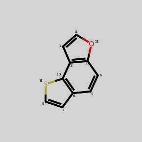 c1cc2c(ccc3ccsc32)o1